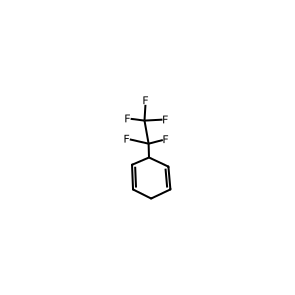 FC(F)(F)C(F)(F)C1C=CCC=C1